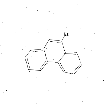 CCc1cc2ccccc2c2ccccc12